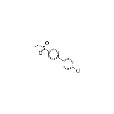 CCS(=O)(=O)c1ccc(-c2ccc(Cl)cc2)cc1